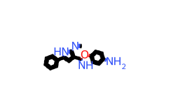 C=Nc1[nH]c(-c2ccccc2)cc1C(=N)Oc1ccc(N)cc1